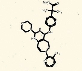 COC(=O)C(C)(C)c1ccc(NC2NC(N3CCOCC3)NC3=C2CCN(c2ncccc2C(F)(F)F)C=C3)cc1